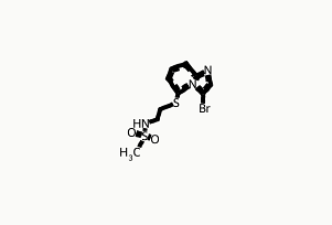 CS(=O)(=O)NCCSc1cccc2ncc(Br)n12